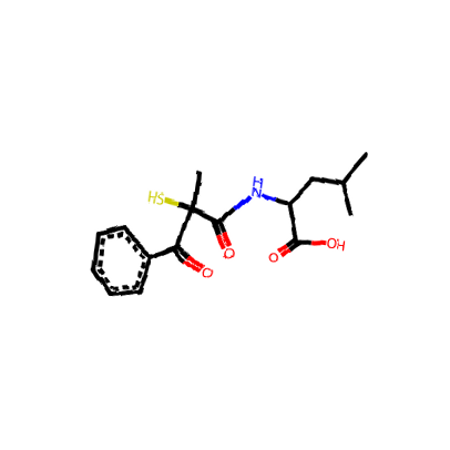 CC(C)CC(NC(=O)C(C)(S)C(=O)c1ccccc1)C(=O)O